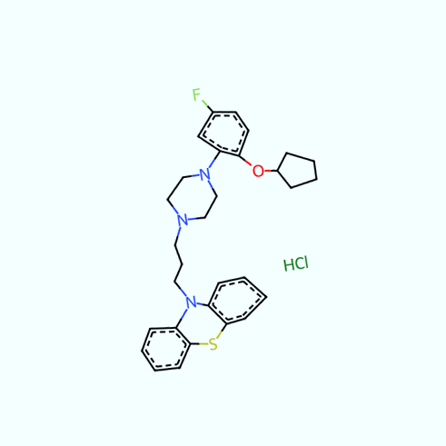 Cl.Fc1ccc(OC2CCCC2)c(N2CCN(CCCN3c4ccccc4Sc4ccccc43)CC2)c1